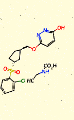 N#CCNC(=O)O.O=S(=O)(c1ccccc1Cl)[C@@H]1CC[C@@H](COc2ccc(O)nn2)C1